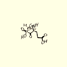 CN[C@@H](CCC(=O)O)C(=O)P(=O)(O)O